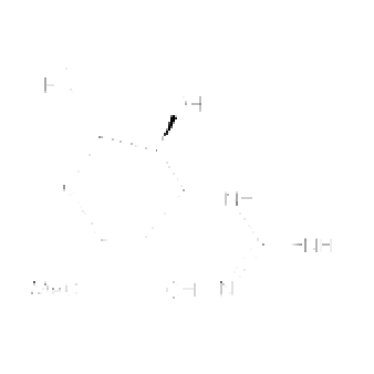 CO[C@@H]1O[C@H](C)[C@@H](O)[C@H](NC(=N)N)[C@@H]1O